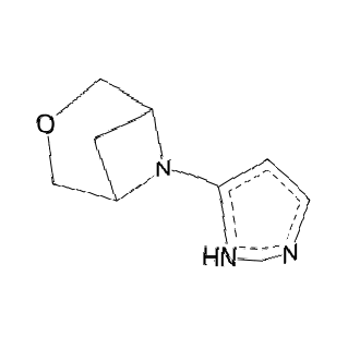 c1cc(N2C3COCC2C3)[nH]n1